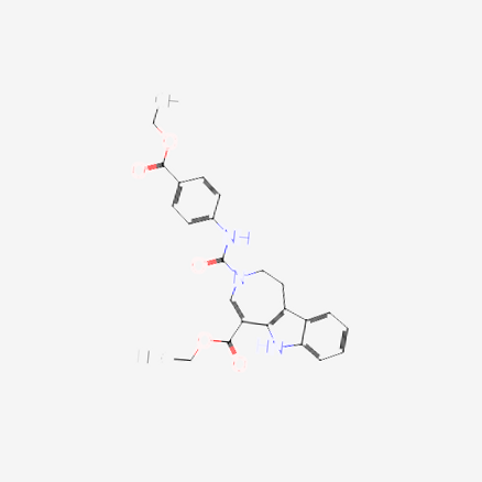 CCOC(=O)C1=CN(C(=O)Nc2ccc(C(=O)OCC)cc2)CCc2c1[nH]c1ccccc21